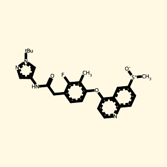 Cc1c(Oc2ccnc3ccc([S+](C)[O-])cc23)ccc(CC(=O)Nc2cnn(C(C)(C)C)c2)c1F